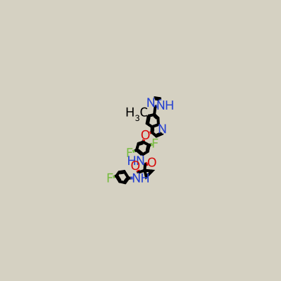 Cc1cc2c(Oc3cc(F)c(NC(=O)C4(C(=O)Nc5ccc(F)cc5)CC4)cc3F)ccnc2cc1-c1ncc[nH]1